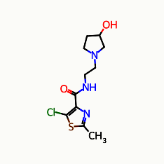 Cc1nc(C(=O)NCCN2CCC(O)C2)c(Cl)s1